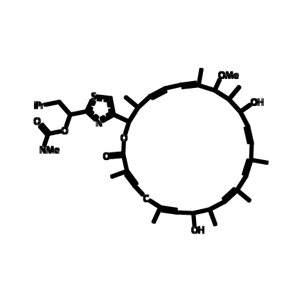 CNC(=O)OC(CC(C)C)c1nc(C2OC(=O)C(C)=CCC(C)=CC(O)C(C)C=C(C)C=C(C)C=CC(O)C(C)C(OC)C(C)=CC=CC2C)cs1